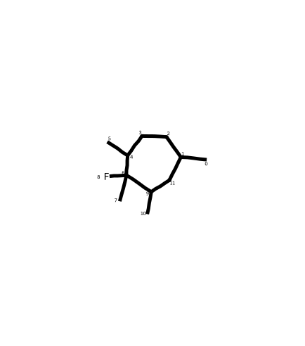 CC1CCC(C)C(C)(F)C(C)C1